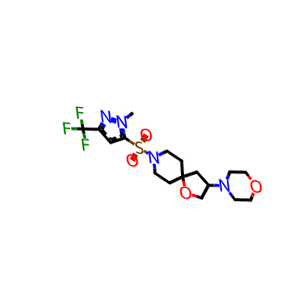 Cn1nc(C(F)(F)F)cc1S(=O)(=O)N1CCC2(CC1)CC(N1CCOCC1)CO2